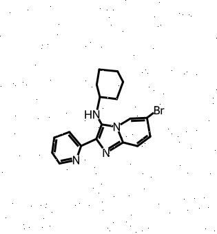 Brc1ccc2nc(-c3ccccn3)c(NC3CCCCC3)n2c1